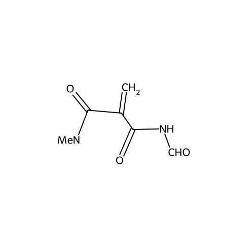 C=C(C(=O)NC)C(=O)NC=O